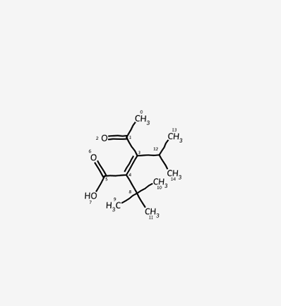 CC(=O)/C(=C(\C(=O)O)C(C)(C)C)C(C)C